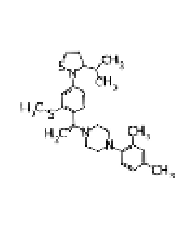 C=C(c1ccc(N2SCCC2C(C)C)cc1SC)N1CCN(c2ccc(C)cc2C)CC1